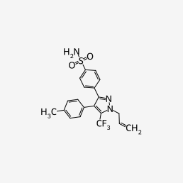 C=CCn1nc(-c2ccc(S(N)(=O)=O)cc2)c(-c2ccc(C)cc2)c1C(F)(F)F